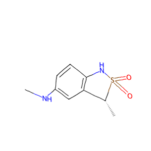 CNc1ccc2c(c1)[C@@H](C)S(=O)(=O)N2